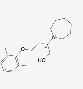 Cc1cccc(C)c1OCC[C@@H](CO)N1CCCCCC1